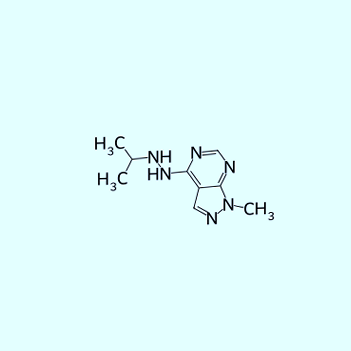 CC(C)NNc1ncnc2c1cnn2C